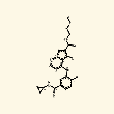 COCCNC(=O)c1cn2ncnc(Nc3cc(C(=O)NC4CC4)ccc3C)c2c1C